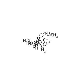 Cc1cccc(C)c1-c1cc(Oc2ccc(CN3CCN(C)CC3)cc2)nc(NS(=O)(=O)c2cnn(C)c2)n1